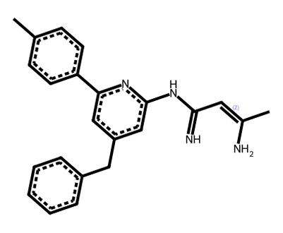 C/C(N)=C/C(=N)Nc1cc(Cc2ccccc2)cc(-c2ccc(C)cc2)n1